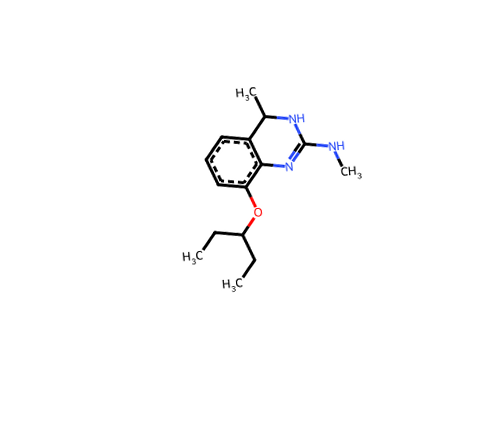 CCC(CC)Oc1cccc2c1N=C(NC)NC2C